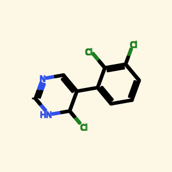 Clc1cccc(C2=CN=[C]NC2Cl)c1Cl